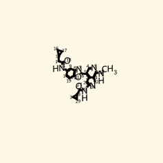 CNc1ncc(-c2nc3cc(NC(=O)CC4CC4)ccc3o2)c2cc(NC(=O)C3CC3)ncc12